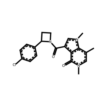 Cc1cn(C)c(=O)c2c(C(=O)N3CCC3c3ccc(Cl)cc3)cn(C)c12